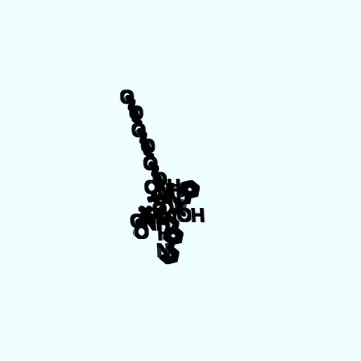 COCCOCCOCCOCCOCCOC(=O)N[C@H](C(=O)N[C@@H](Cc1ccccc1)[C@@H](O)CN(Cc1ccc(-c2ccccn2)cc1)NC(=O)[C@@H](NC(=O)OC)C(C)(C)C)C(C)(C)C